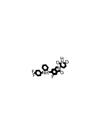 O=C1CCC(N2Cc3cc(C[C@H]4CCCC[C@@H]4NC4CCC(F)(F)CC4)c(F)cc3C2=O)C(=O)N1